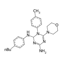 CCCCc1ccc(NC2N=C(N)N=C(N3CCOCC3)N2c2ccc(C)cc2)cc1